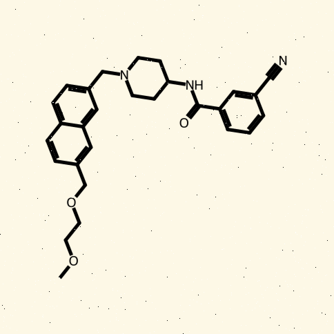 COCCOCc1ccc2ccc(CN3CCC(NC(=O)c4cccc(C#N)c4)CC3)cc2c1